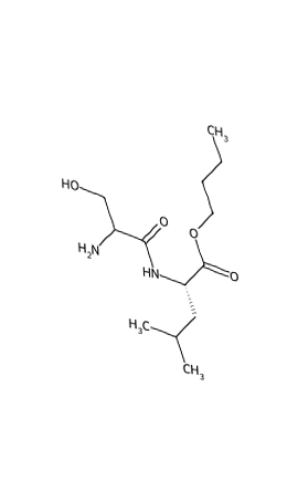 CCCCOC(=O)[C@H](CC(C)C)NC(=O)C(N)CO